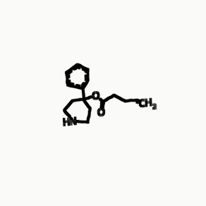 C=CCCC(=O)OC1(c2ccccc2)CCNCC1